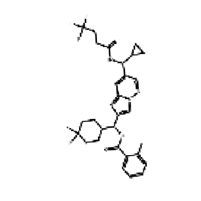 Cc1ccccc1C(=O)N[C@H](c1cn2ncc(C(NC(=O)CCC(F)(F)F)C3CC3)cc2n1)C1CCC(F)(F)CC1